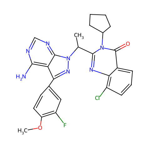 COc1ccc(-c2nn(C(C)c3nc4c(Cl)cccc4c(=O)n3C3CCCC3)c3ncnc(N)c23)cc1F